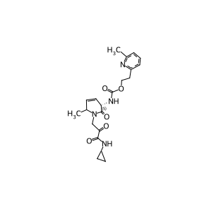 Cc1cccc(CCOC(=O)N[C@H]2C=CC(C)N(CC(=O)C(=O)NC3CC3)C2=O)n1